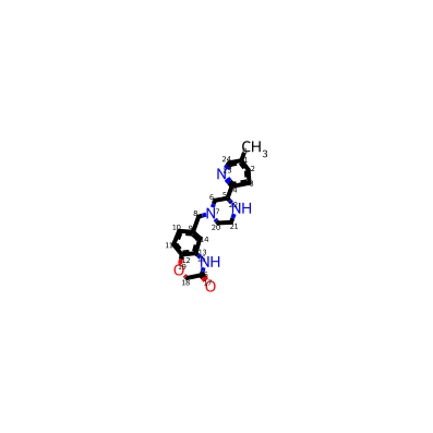 Cc1ccc(C2CN(Cc3ccc4c(c3)NC(=O)CO4)CCN2)nc1